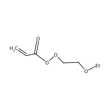 C=CC(=O)OOCCOCC